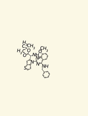 COc1cccc2c(NCc3ccccc3)nc(-n3c(C(N)C(=O)OC(C)(C)C)cc4sccc43)nc12